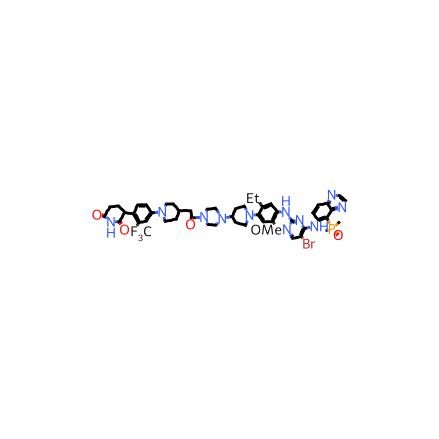 CCc1cc(Nc2ncc(Br)c(Nc3ccc4nccnc4c3P(C)(C)=O)n2)c(OC)cc1N1CCC(N2CCN(C(=O)CC3CCN(c4ccc(C5CCC(=O)NC5=O)c(C(F)(F)F)c4)CC3)CC2)CC1